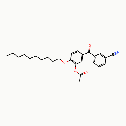 CCCCCCCCCCOc1ccc(C(=O)c2cccc(C#N)c2)cc1OC(C)=O